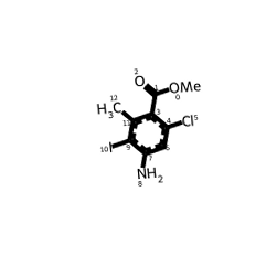 COC(=O)c1c(Cl)cc(N)c(I)c1C